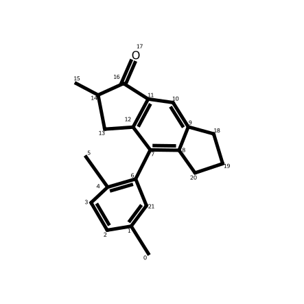 Cc1ccc(C)c(-c2c3c(cc4c2CC(C)C4=O)CCC3)c1